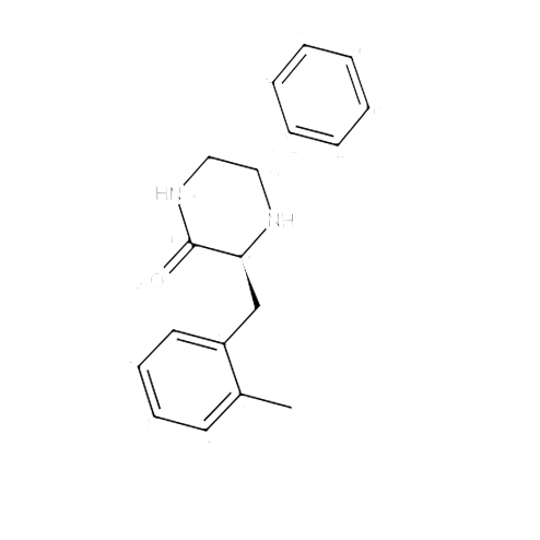 Cc1ccccc1C[C@@H]1N[C@@H](c2ccccc2)CNC1=O